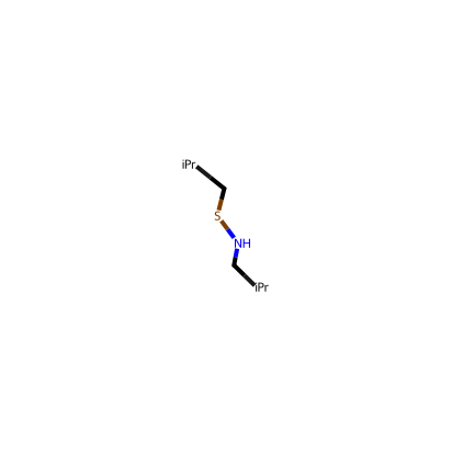 CC(C)CNSCC(C)C